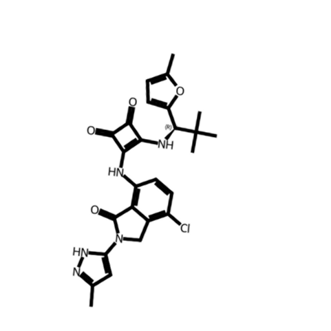 Cc1cc(N2Cc3c(Cl)ccc(Nc4c(N[C@@H](c5ccc(C)o5)C(C)(C)C)c(=O)c4=O)c3C2=O)[nH]n1